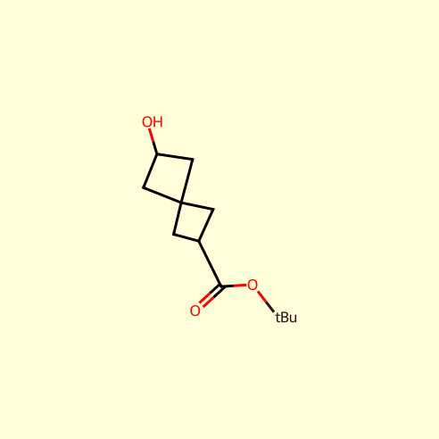 CC(C)(C)OC(=O)C1CC2(CC(O)C2)C1